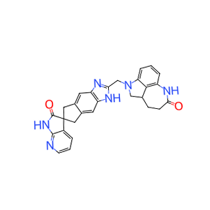 O=C1CCC2CN(Cc3nc4cc5c(cc4[nH]3)CC3(C5)C(=O)Nc4ncccc43)c3cccc(c32)N1